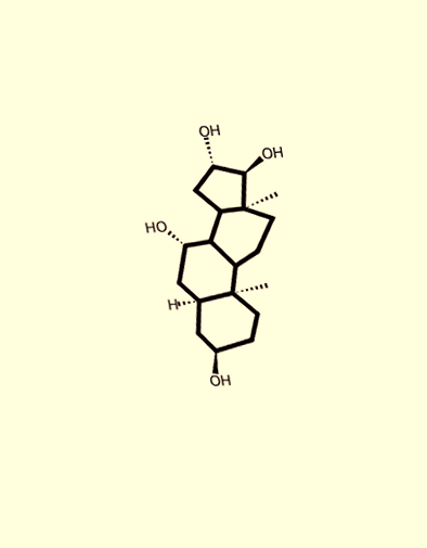 C[C@]12CCC3C(C1C[C@H](O)[C@H]2O)[C@@H](O)C[C@@H]1C[C@H](O)CC[C@]31C